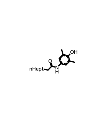 CCCCCCCCC(=O)Nc1cc(C)c(O)c(C)c1